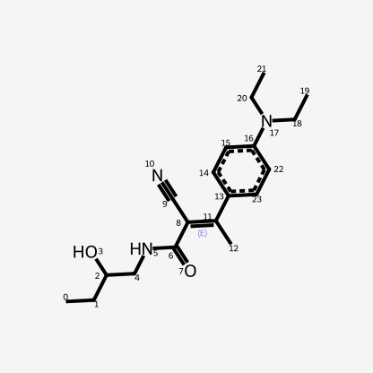 CCC(O)CNC(=O)/C(C#N)=C(\C)c1ccc(N(CC)CC)cc1